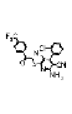 N#Cc1c(N)nc(SCC(=O)c2ccc(C(F)(F)F)cc2)c(C#N)c1-c1ccccc1Cl